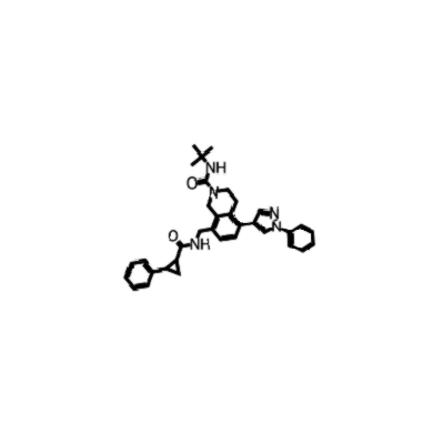 CC(C)(C)NC(=O)N1CCc2c(-c3cnn(-c4ccccc4)c3)ccc(CNC(=O)C3CC3c3ccccc3)c2C1